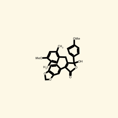 COc1ccc(C2(O)OC(=O)C(c3ccc4c(c3)OCO4)=C2Cc2cc(C)c(OC)cc2C)cc1